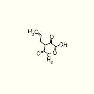 C=CCC(C(C)=O)C(=O)C(=O)O